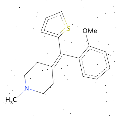 COc1ccccc1C(=C1CCN(C)CC1)c1cccs1